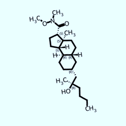 CCCC[C@@](C)(O)C[C@@H]1CC[C@@H]2[C@H](CC[C@]3(C)[C@@H](C(=O)N(C)OC)CC[C@@H]23)C1